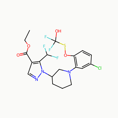 CCOC(=O)c1cnn(C2CCCN(c3cc(Cl)ccc3OSC(O)(F)F)C2)c1C(F)F